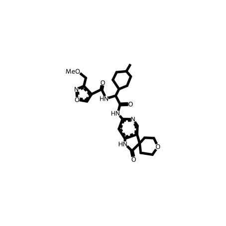 COCc1nocc1C(=O)NC(C(=O)Nc1cc2c(cn1)C1(CCOCC1)C(=O)N2)C1CCC(C)CC1